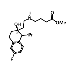 COC(=O)CCCN(C)CC[C@@]1(O)CCc2cc(F)ccc2C1C(C)C